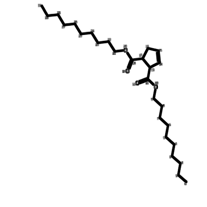 CCCCCCCCCCOC(=O)C1C=CCC1C(=O)OCCCCCCCCCC